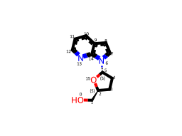 OC[C@@H]1CC[C@@H](n2ccc3cccnc32)O1